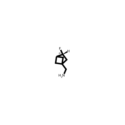 NCC12CC(C1)[C@H](F)C2